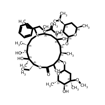 CCCN1C[C@@H](C)[C@@H](O)[C@](C)(O)[C@@H](CC)OC(=O)C(C)[C@H](OC2C[C@@](C)(OC)[C@@H](O)[C@H](C)O2)[C@H](C)[C@@H](O[C@@H]2O[C@H](C)C[C@H](N(C)C)[C@H]2OC(=O)OCc2ccccc2)[C@](C)(O)C[C@H]1C